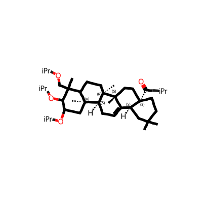 CC(C)OCC1(C)C(OC(C)C)C(OC(C)C)C[C@@]2(C)C1CC[C@]1(C)[C@H]2CC=C2[C@@H]3CC(C)(C)CC[C@]3(C(=O)C(C)C)CC[C@]21C